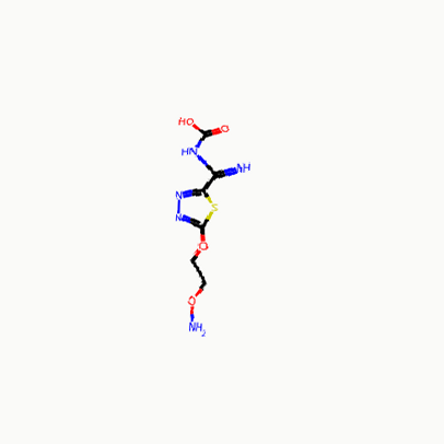 N=C(NC(=O)O)c1nnc(OCCON)s1